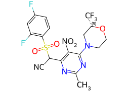 Cc1nc(C(C#N)S(=O)(=O)c2ccc(F)cc2F)c([N+](=O)[O-])c(N2CCO[C@@H](C(F)(F)F)C2)n1